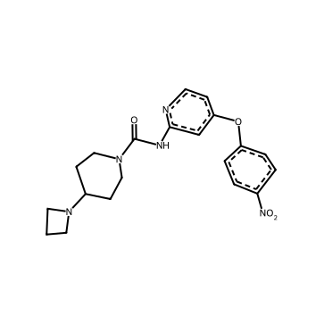 O=C(Nc1cc(Oc2ccc([N+](=O)[O-])cc2)ccn1)N1CCC(N2CCC2)CC1